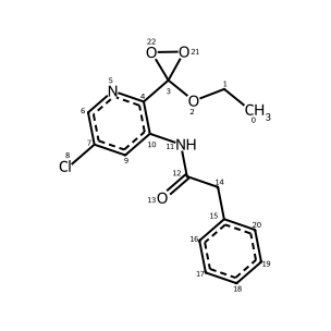 CCOC1(c2ncc(Cl)cc2NC(=O)Cc2ccccc2)OO1